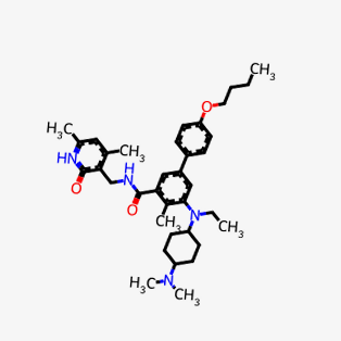 CCCCOc1ccc(-c2cc(C(=O)NCc3c(C)cc(C)[nH]c3=O)c(C)c(N(CC)C3CCC(N(C)C)CC3)c2)cc1